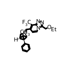 CCOCc1nnc2c(C(F)(F)F)c(CN3C[C@H]4[C@@]5(C)C3[C@]45c3ccccc3)ccn12